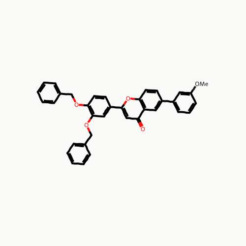 COc1cccc(-c2ccc3oc(-c4ccc(OCc5ccccc5)c(OCc5ccccc5)c4)cc(=O)c3c2)c1